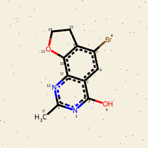 Cc1nc(O)c2cc(Br)c3c(c2n1)OCC3